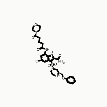 NC(=O)c1[nH]c2c(NC(=O)CCCC(=O)N3CCOCC3)cc(Cl)cc2c1S(=O)(=O)N1CCO[C@H](COc2ccccc2)C1